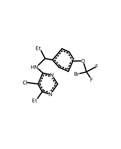 CCc1ncnc(NC(CC)c2ccc(OC(F)(F)Br)cc2)c1Cl